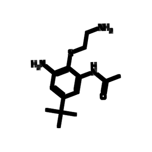 CC(=O)Nc1cc(C(C)(C)C)cc(N)c1SCCN